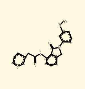 O=C(Cc1cccnc1)Nc1cccc2c1C(=O)N(c1cccc(OC(F)(F)F)c1)C2